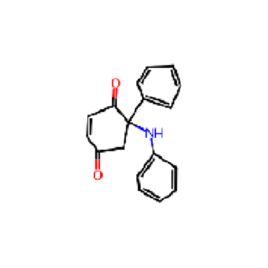 O=C1C=CC(=O)C(Nc2ccccc2)(c2ccccc2)C1